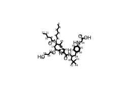 CCCCCCN(C(=O)CCCC)C(CC(OCCCO)c1nc(C(=O)NC(Cc2ccc(NCC(=O)O)cc2)CC(C)(C)C)cs1)C(C)C